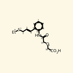 CCSCC=Cc1ccccc1NC(=O)COCC(=O)O